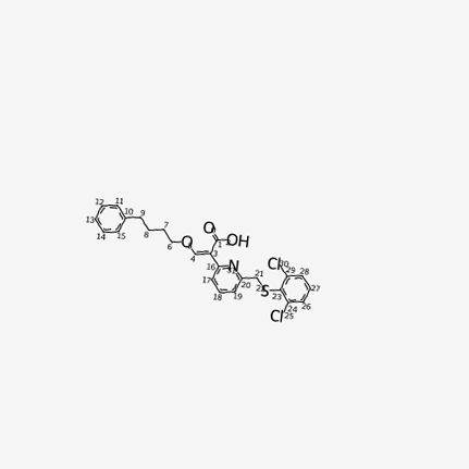 O=C(O)C(=COCCCCc1ccccc1)c1cccc(CSc2c(Cl)cccc2Cl)n1